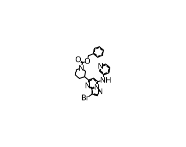 O=C(OCc1ccccc1)N1CCCC(c2cc(Nc3cccnc3)n3ncc(Br)c3n2)C1